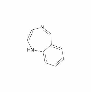 [C]1=CNc2ccccc2C=N1